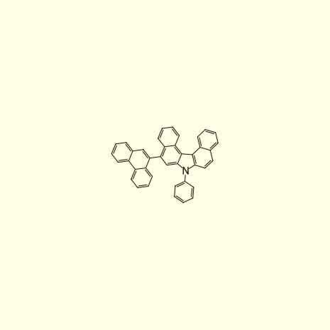 c1ccc(-n2c3ccc4ccccc4c3c3c4ccccc4c(-c4cc5ccccc5c5ccccc45)cc32)cc1